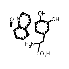 C=O.NC(Cc1ccc(O)c(O)c1)C(=O)O.c1ccc2ncccc2c1